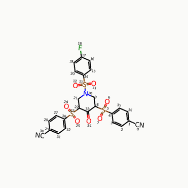 N#Cc1ccc(S(=O)(=O)C2CN(S(=O)(=O)c3ccc(F)cc3)CC(S(=O)(=O)c3ccc(C#N)cc3)C2=O)cc1